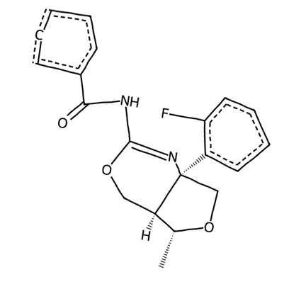 C[C@H]1OC[C@]2(c3ccccc3F)N=C(NC(=O)c3ccccc3)OC[C@H]12